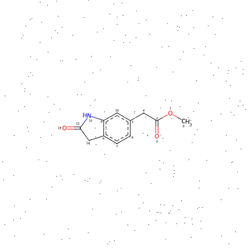 COC(=O)Cc1ccc2c(c1)NC(=O)C2